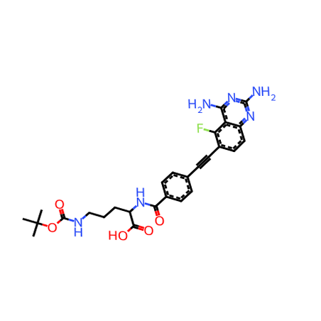 CC(C)(C)OC(=O)NCCCC(NC(=O)c1ccc(C#Cc2ccc3nc(N)nc(N)c3c2F)cc1)C(=O)O